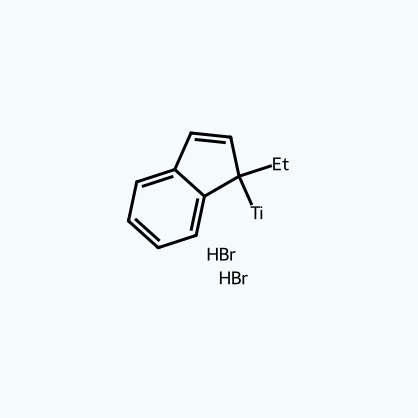 Br.Br.CC[C]1([Ti])C=Cc2ccccc21